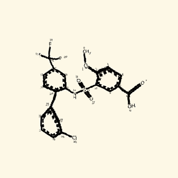 COc1ccc(C(=O)O)cc1S(=O)(=O)Nc1cc(C(F)(F)F)ccc1-c1cccc(Cl)c1